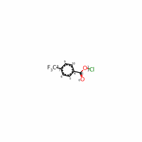 O=C(OCl)c1ccc(C(F)(F)F)cc1